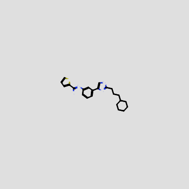 N/C(=N\c1cccc(-c2c[nH]c(CCCC3CCCCC3)n2)c1)c1cccs1